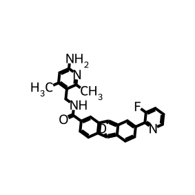 Cc1cc(N)nc(C)c1CNC(=O)c1ccc2c(c1)c1oc2c2ccc(-c3ncccc3F)cc21